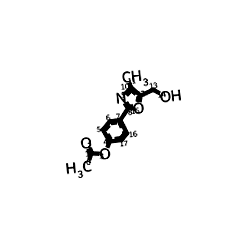 CC(=O)Oc1ccc(-c2nc(C)c(CO)o2)cc1